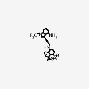 CS(=O)(=O)c1ccc(NCC#Cc2cn(CC(F)(F)F)c3cccc(N)c23)c2c1C1(CC1)CO2